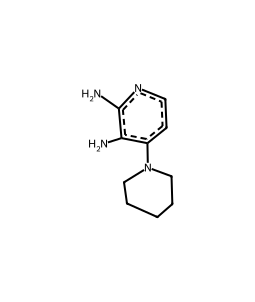 Nc1nccc(N2CCCCC2)c1N